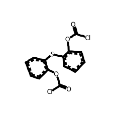 O=C(Cl)Oc1ccccc1Sc1ccccc1OC(=O)Cl